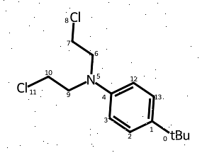 CC(C)(C)c1ccc(N(CCCl)CCCl)cc1